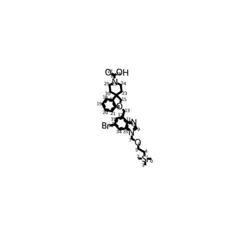 C[Si](C)(C)CCOCn1cnc2c(COCC3(c4ccccc4)CCN(C(=O)O)CC3)cc(Br)cc21